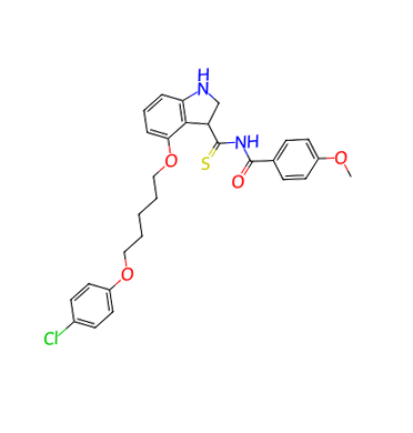 COc1ccc(C(=O)NC(=S)C2CNc3cccc(OCCCCCOc4ccc(Cl)cc4)c32)cc1